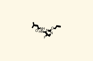 C=CCOc1ncc(F)c(NNC(=O)C=C(C)C)n1